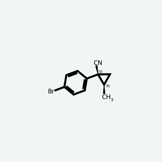 C[C@@H]1C[C@@]1(C#N)c1ccc(Br)cc1